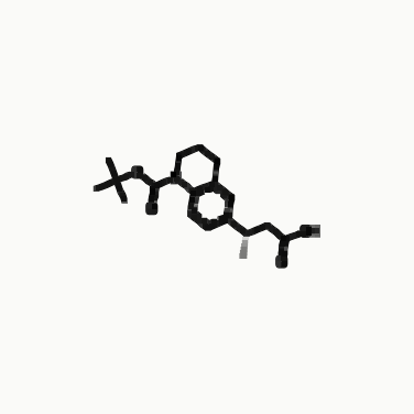 C[C@@H](CC(=O)O)c1ccc2c(c1)CCCN2C(=O)OC(C)(C)C